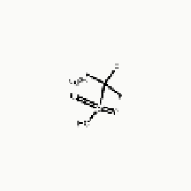 O=S(=O)(O)C(F)(F)F.[Nd+3]